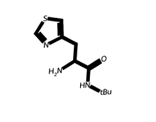 CC(C)(C)NC(=O)C(N)Cc1cscn1